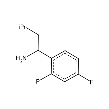 CC(C)CC(N)c1ccc(F)cc1F